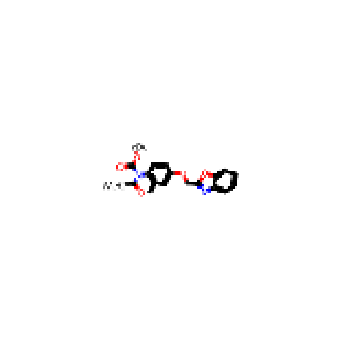 CCCCOC(=O)N(C(=O)OC)c1ccc(OCc2nc3ccccc3o2)cc1C